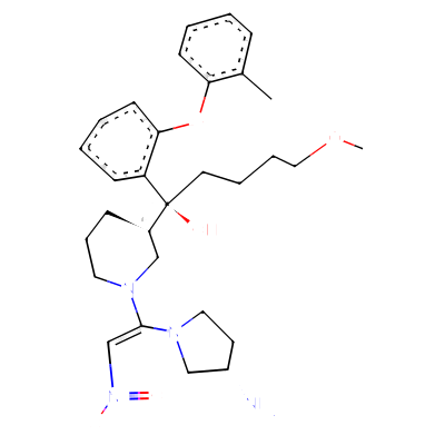 COCCCC[C@@](O)(c1ccccc1Oc1ccccc1C)[C@@H]1CCCN(C(=C[N+](=O)[O-])N2CC[C@H](N)C2)C1